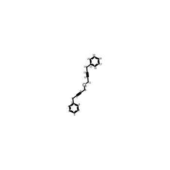 C(#CCc1ccccc1)COCC#CCc1ccccc1